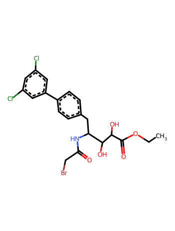 CCOC(=O)C(O)C(O)C(Cc1ccc(-c2cc(Cl)cc(Cl)c2)cc1)NC(=O)CBr